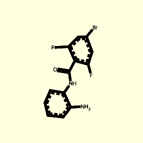 Nc1ccccc1NC(=O)c1c(F)cc(Br)cc1F